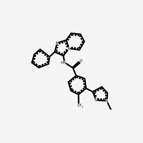 Cn1ccc(-c2cc(C(=O)Nc3c(-c4ccccc4)nc4ccccn34)ccc2C(F)(F)F)n1